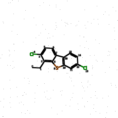 CCc1c(Cl)ccc2c1sc1cc(Cl)ccc12